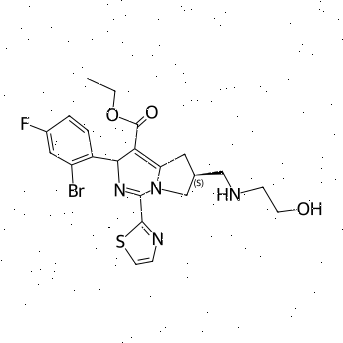 CCOC(=O)C1=C2C[C@@H](CNCCO)CN2C(c2nccs2)=NC1c1ccc(F)cc1Br